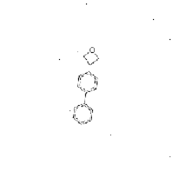 C1COC1.c1ccc(-c2ccccc2)cc1